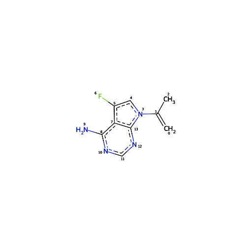 C=C(C)n1cc(F)c2c(N)ncnc21